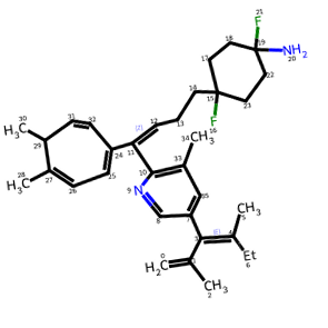 C=C(C)/C(=C(/C)CC)c1cnc(/C(=C\CCC2(F)CCC(N)(F)CC2)C2=CC=C(C)C(C)C=C2)c(C)c1